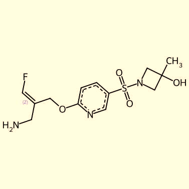 CC1(O)CN(S(=O)(=O)c2ccc(OC/C(=C\F)CN)nc2)C1